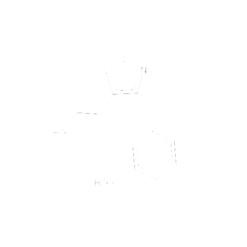 Cc1ccc(C(=O)O)cc1.Cc1ncsc1CCO